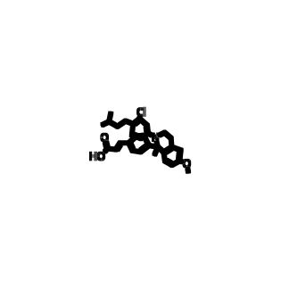 COc1ccc2c(c1)CCN(c1ccc(CCC(C)C)c(Cl)c1)C2(C)c1ccc(/C=C/C(=O)O)cc1